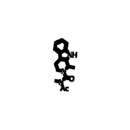 CC(=O)N(C)C(=O)N1CCc2c([nH]c3ccccc23)C1C